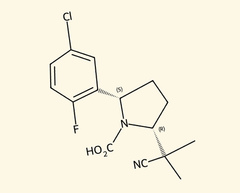 CC(C)(C#N)[C@H]1CC[C@@H](c2cc(Cl)ccc2F)N1C(=O)O